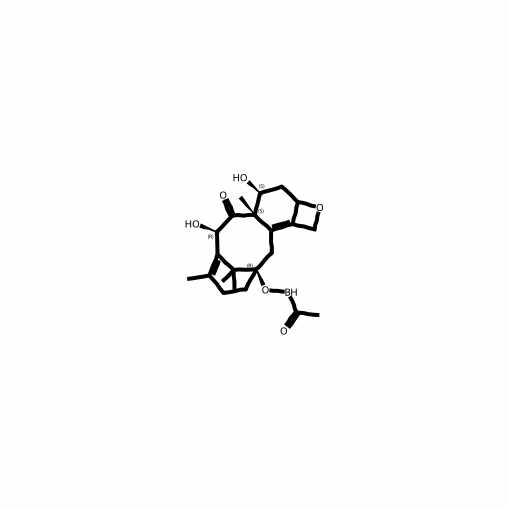 CC(=O)BO[C@]12CCC(C)=C([C@@H](O)C(=O)[C@@]3(C)C(=C4COC4C[C@@H]3O)C1)C2(C)C